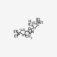 CCN(CC)c1ccc(-c2nnc(-c3ccc(N(CC)CC)cc3C)o2)c(C)c1